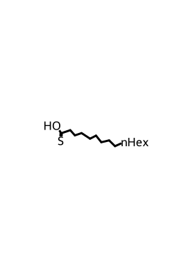 CCCCCCCCCCCCCCC(O)=S